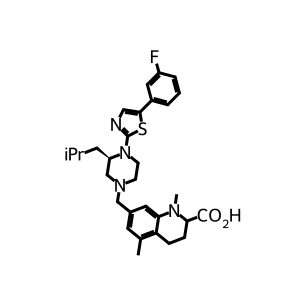 Cc1cc(CN2CCN(c3ncc(-c4cccc(F)c4)s3)[C@H](CC(C)C)C2)cc2c1CCC(C(=O)O)N2C